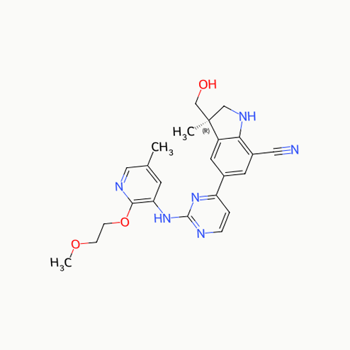 COCCOc1ncc(C)cc1Nc1nccc(-c2cc(C#N)c3c(c2)[C@@](C)(CO)CN3)n1